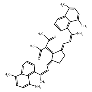 CC(=O)C(C(C)=O)=C1/C(=C/C=C(/C)c2cccc3c(C)ccc(N)c23)CC/C1=C\C=C(\N)c1cccc2c(C)ccc(C)c12